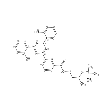 CC(CCOC(=O)c1cccc(-c2nc(-c3ccccc3O)nc(-c3ccccc3O)n2)c1)CC(C)(C)C